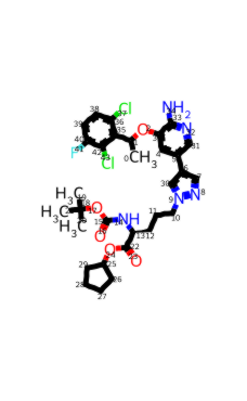 CC(Oc1cc(-c2cnn(CCC[C@H](NC(=O)OC(C)(C)C)C(=O)OC3CCCC3)c2)cnc1N)c1c(Cl)ccc(F)c1Cl